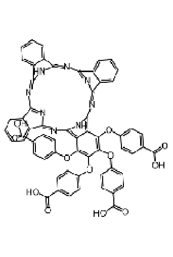 O=C(O)c1ccc(Oc2c(Oc3ccc(C(=O)O)cc3)c(Oc3ccc(C(=O)O)cc3)c3c4nc5nc(nc6[nH]c(nc7nc(nc([nH]4)c3c2Oc2ccc(C(=O)O)cc2)-c2ccccc2-7)c2ccccc62)-c2ccccc2-5)cc1